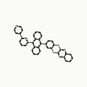 c1cc(-c2ccncc2)nc(-c2c3ccccc3c(-c3ccc4c(c3)Sc3nc5ccccc5nc3S4)c3ccccc23)c1